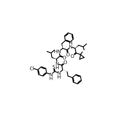 CC(C)C[C@H](NC(=O)[C@H](CCc1ccccc1)NC(=S)Nc1ccc(Cl)cc1)C(=O)N[C@@H](Cc1ccccc1)C(=O)N[C@@H](CC(C)C)C(=O)C1(C)CC1